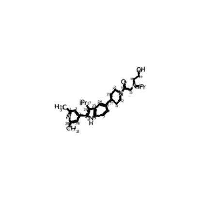 Cc1cc(-c2[nH]c3ccc(C4CCN(C(=O)CN(CCO)C(C)C)CC4)cc3c2C(C)C)cc(C)n1